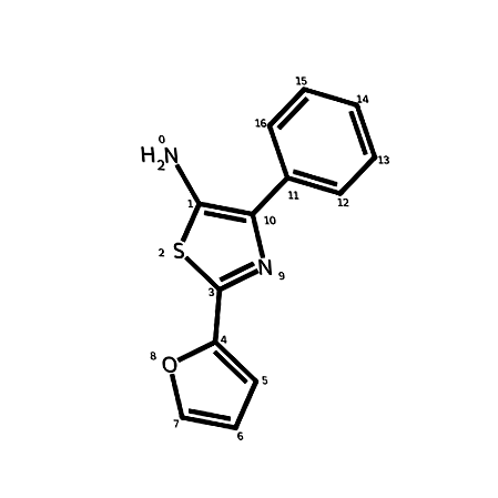 Nc1sc(-c2ccco2)nc1-c1ccccc1